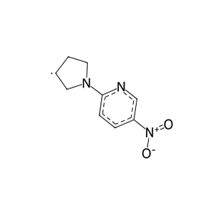 O=[N+]([O-])c1ccc(N2C[CH]CC2)nc1